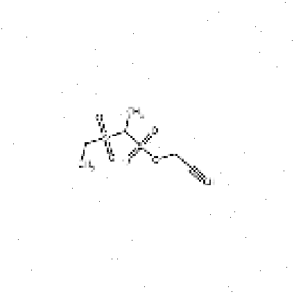 C#CCOS(=O)(=O)C(C)S(=O)(=O)CC